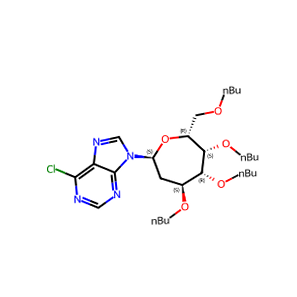 CCCCOC[C@H]1O[C@H](n2cnc3c(Cl)ncnc32)C[C@H](OCCCC)[C@@H](OCCCC)[C@H]1OCCCC